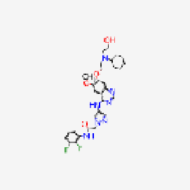 COc1cc2c(Nc3cnn(CC(=O)Nc4cccc(F)c4F)c3)ncnc2cc1OCCN(CCO)C1CCCCC1